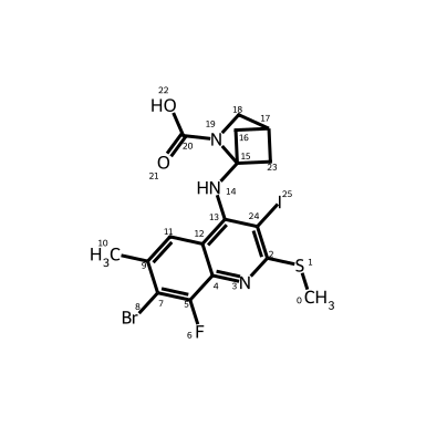 CSc1nc2c(F)c(Br)c(C)cc2c(NC23CC(CN2C(=O)O)C3)c1I